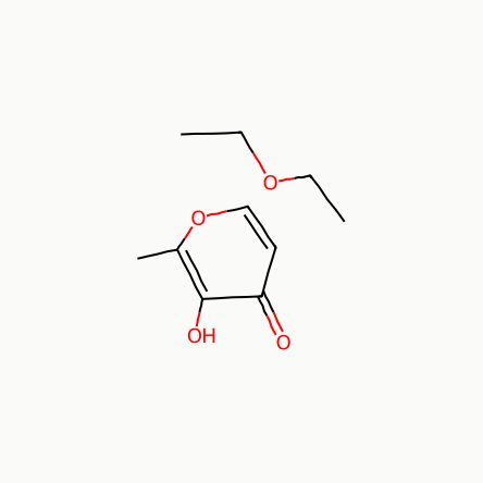 CCOCC.Cc1occc(=O)c1O